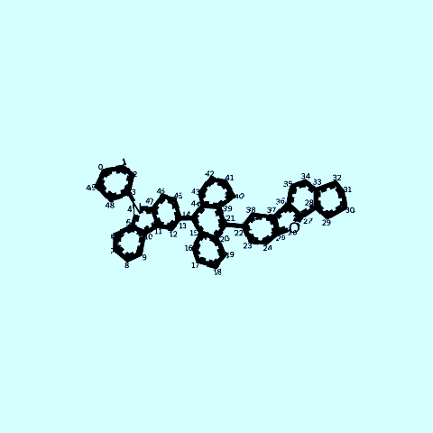 c1ccc(-n2c3ccccc3c3cc(-c4c5ccccc5c(-c5ccc6oc7c8ccccc8ccc7c6c5)c5ccccc45)ccc32)cc1